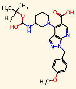 COc1ccc(Cn2ncc3c(N4CCC[C@H](NC(O)OC(C)(C)C)C4)c(C(=O)O)cnc32)cc1